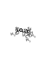 CCC(C)Nc1nc(Nc2ccc(Br)c(C(=O)OC)c2)ncc1C(F)(F)F